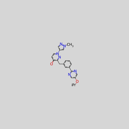 CC(C)Oc1cnc(-c2cccc(Cc3nn(-c4cnn(C)c4)ccc3=O)c2)nc1